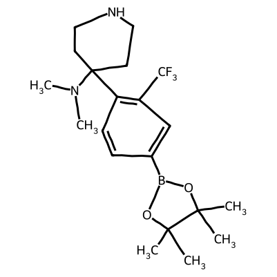 CN(C)C1(c2ccc(B3OC(C)(C)C(C)(C)O3)cc2C(F)(F)F)CCNCC1